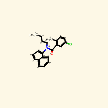 COc1ccc(Cl)cc1C(=O)N(CCCC(=O)O)c1cccc2ccccc12